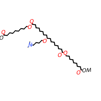 COC(=O)CCCCCCCCOC(=O)CCCCCCCC(CCCCCCCC(=O)OCCCCCCCCC(=O)OC)OCCCCN(C)C